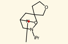 CC(C)N1CC2CN(C)CC1C1(CCOC1)C2